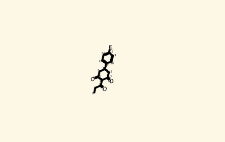 CCC(=O)C1C(=O)CC(c2ccc(F)cc2)CC1=O